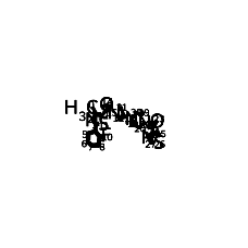 Cc1nc(-c2ccccc2F)sc1C(=O)N1CC(N2CCN(C(=O)c3cscn3)CC2)C1